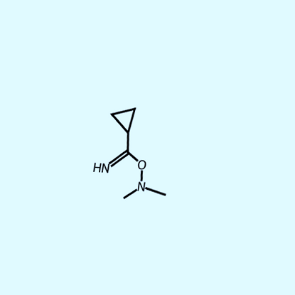 CN(C)OC(=N)C1CC1